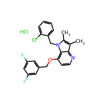 Cc1c(C)n(Cc2ccccc2Cl)c2c(OCc3cc(F)cc(F)c3)ccnc12.Cl